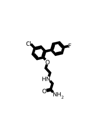 NC(=O)CNCCOc1ccc(Cl)cc1-c1ccc(F)cc1